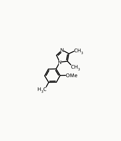 COc1cc(C)ccc1-n1cnc(C)c1C